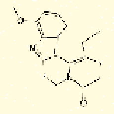 CCC1=C2C3=C4CC=CC(OC)=C4N=C3CCN2C(=O)CC1